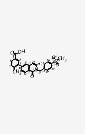 Cc1ccc(C(=O)O)cc1-c1ccc2c(=O)n(Cc3ccc(S(C)(=O)=O)cc3)ccc2c1